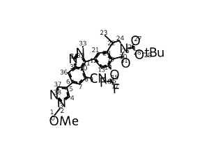 COCCn1cc(-c2cc(C#N)c3c(-c4cc(OC(F)F)c5c(c4)C(C)CN(C(=O)OC(C)(C)C)C5=O)n(C)nc3c2)cn1